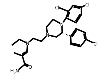 CCN(/C=C(\C)C(N)=O)CCN1CCN(c2ccc(Cl)cc2Cl)[C@H](c2ccc(Cl)cc2)C1